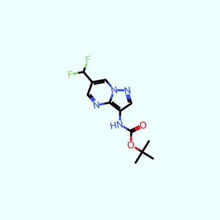 CC(C)(C)OC(=O)Nc1cnn2cc(C(F)F)cnc12